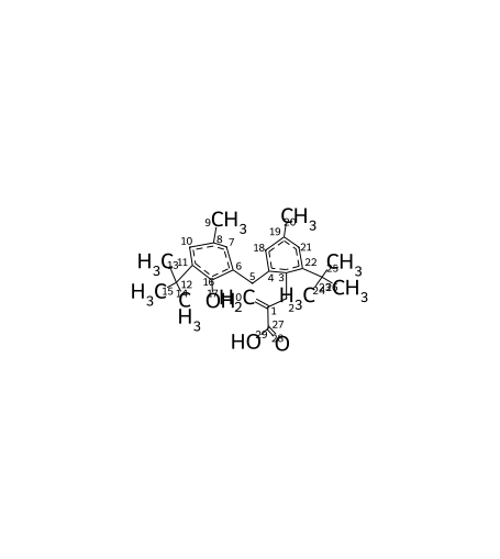 C=C(Cc1c(Cc2cc(C)cc(C(C)(C)C)c2O)cc(C)cc1C(C)(C)C)C(=O)O